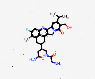 Cc1c(F)cc2nc3c(c4c2c1CC(C(CNC(=O)CN)CC(N)=O)C4)Cn1c-3cc(C(C)C)c(CO)c1=O